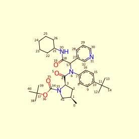 C[C@@H]1C[C@H](C(=O)N(c2ccc(C(C)(C)C)cc2)C(C(=O)NC2CCCCC2)c2cccnc2)N(C(=O)OC(C)(C)C)C1